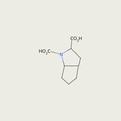 O=C(O)C1CC2CCCC2N1C(=O)O